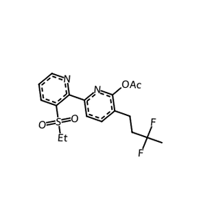 CCS(=O)(=O)c1cccnc1-c1ccc(CCC(C)(F)F)c(OC(C)=O)n1